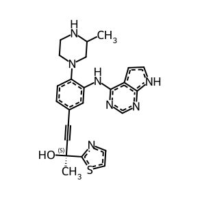 CC1CN(c2ccc(C#C[C@](C)(O)c3nccs3)cc2Nc2ncnc3[nH]ccc23)CCN1